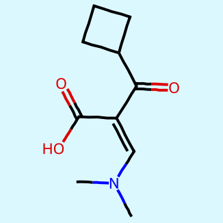 CN(C)C=C(C(=O)O)C(=O)C1CCC1